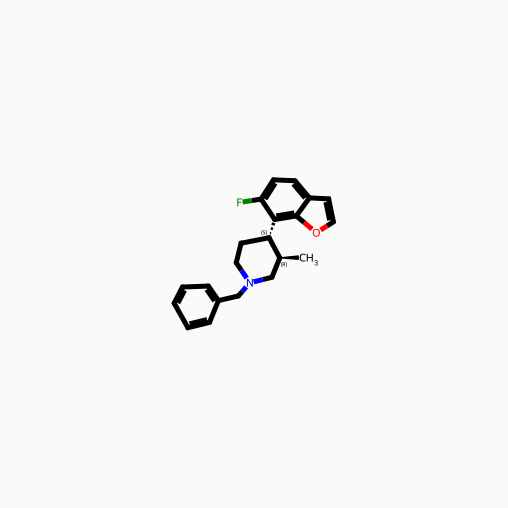 C[C@H]1CN(Cc2ccccc2)CC[C@@H]1c1c(F)ccc2ccoc12